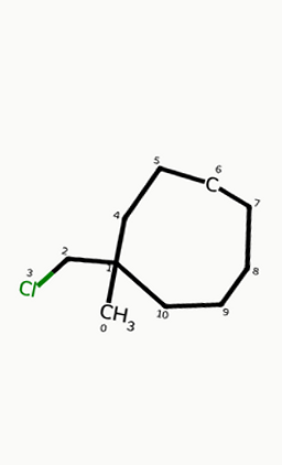 CC1(CCl)CCCCCCC1